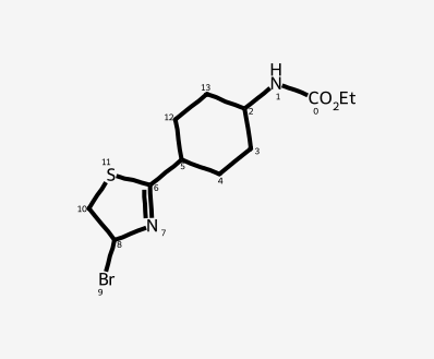 CCOC(=O)NC1CCC(C2=NC(Br)CS2)CC1